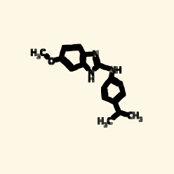 COc1ccc2nc(Nc3ccc(C(C)C)cc3)[nH]c2c1